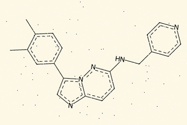 Cc1ccc(-c2cnc3ccc(NCc4ccncc4)nn23)cc1C